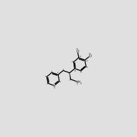 NC[C@@H](Cc1cccnc1)c1ccc(Cl)c(Cl)c1